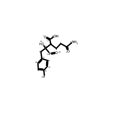 NC(=O)CCC(C(=O)O)C(O)(Cc1ccc(F)cc1)P=O